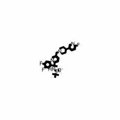 CC(N[S+]([O-])C(C)(C)C)(c1ccc(F)c(F)c1)c1ccc(CN2CCC(c3ccc(F)nc3)CC2)cn1